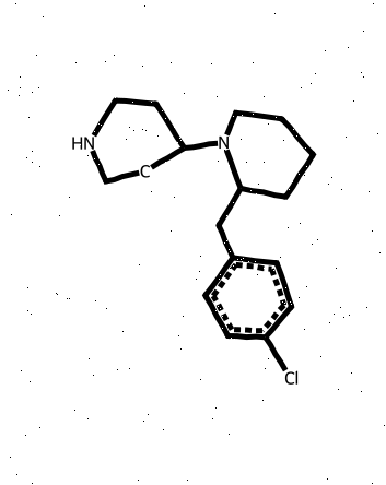 Clc1ccc(CC2CCCCN2C2CCNCC2)cc1